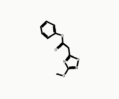 COc1nsc(CC(=O)Oc2ccccc2)n1